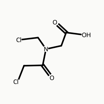 O=C(O)CN(CCl)C(=O)CCl